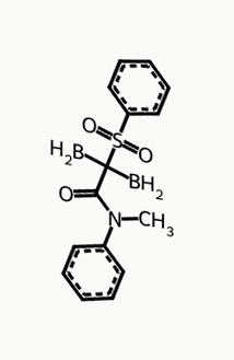 BC(B)(C(=O)N(C)c1ccccc1)S(=O)(=O)c1ccccc1